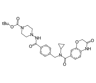 CC(C)(C)OC(=O)N1CCN(NC(=O)c2ccc(CN(C(=O)c3ccc4c(c3)OCC(=O)N4)C3CC3)cc2)CC1